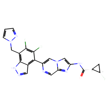 O=C(Nc1cn2cc(-c3c(Cl)c(F)c(Cn4cccn4)c4[nH]ncc34)ncc2n1)[C@@H]1C[C@@H]1F